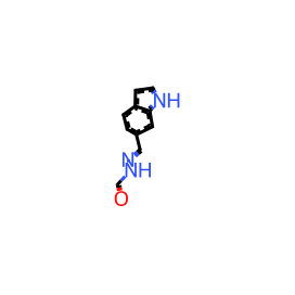 O=CN/N=C/c1ccc2cc[nH]c2c1